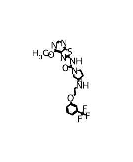 COc1ncnc2sc(NC(=O)N3CC[C@@H](NCCOc4cccc(C(F)(F)F)c4)C3)nc12